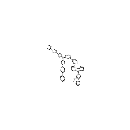 CC1(C)c2ccccc2-c2ccc(-n3c4ccccc4c4c(-c5cccc(-c6cccc(N(c7ccc(-c8ccc(-c9ccccc9)cc8)cc7)c7ccc(-c8ccc(-c9ccccc9)cc8)cc7)c6)c5)cccc43)cc21